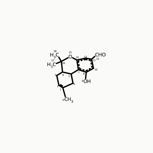 CC1=CCC2C(C1)c1c(O)cc(C=O)cc1OC2(C)C